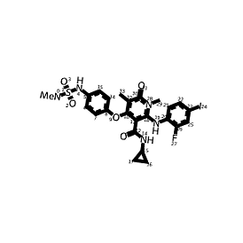 CNS(=O)(=O)Nc1ccc(Oc2c(C(=O)NC3CC3)c(Nc3ccc(I)cc3F)n(C)c(=O)c2C)cc1